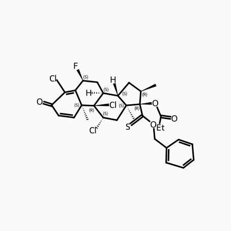 CCC(=O)O[C@]1(C(=S)OCc2ccccc2)[C@H](C)C[C@H]2[C@@H]3C[C@H](F)C4=C(Cl)C(=O)C=C[C@]4(C)[C@@]3(Cl)[C@@H](Cl)C[C@@]21C